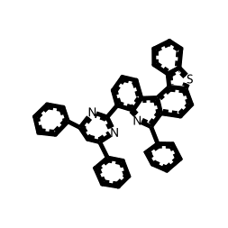 c1ccc(-c2cc(-c3ccccc3)nc(-c3cccc4c3nc(-c3ccccc3)c3ccc5sc6ccccc6c5c34)n2)cc1